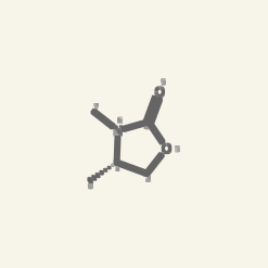 C[C@H]1COC(=O)N1C